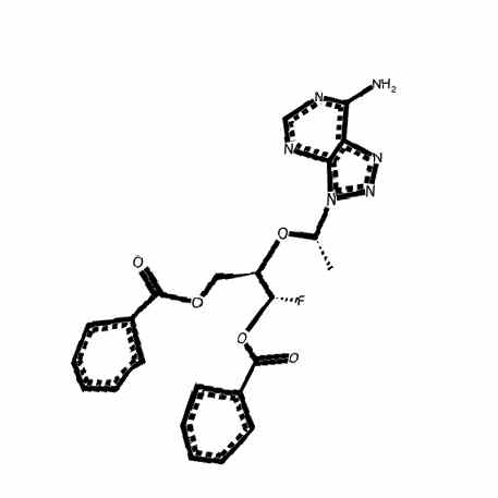 C[C@H](O[C@H](COC(=O)c1ccccc1)[C@H](F)OC(=O)c1ccccc1)n1nnc2c(N)ncnc21